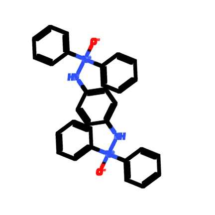 [O-][N+](Nc1ccc(N[N+]([O-])(c2ccccc2)c2ccccc2)cc1)(c1ccccc1)c1ccccc1